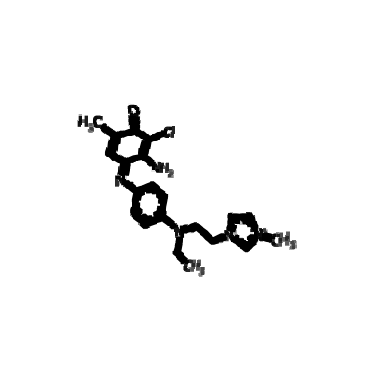 CCN(CCn1cc[n+](C)c1)c1ccc(/N=C2/C=C(C)C(=O)C(Cl)=C2N)cc1